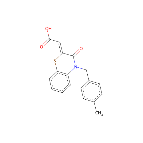 Cc1ccc(CN2C(=O)C(=CC(=O)O)Sc3ccccc32)cc1